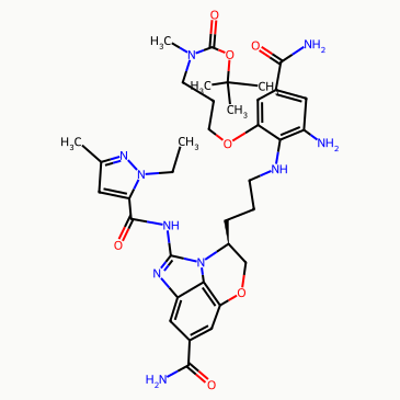 CCn1nc(C)cc1C(=O)Nc1nc2cc(C(N)=O)cc3c2n1[C@@H](CCCNc1c(N)cc(C(N)=O)cc1OCCCN(C)C(=O)OC(C)(C)C)CO3